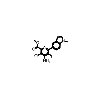 COC(=O)c1nc(-c2ccc3c(c2)CCN3C)c(F)c(N)c1Cl